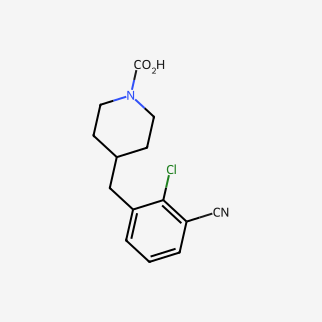 N#Cc1cccc(CC2CCN(C(=O)O)CC2)c1Cl